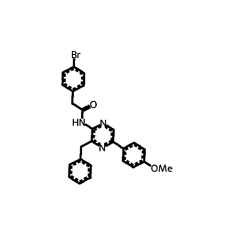 COc1ccc(-c2cnc(NC(=O)Cc3ccc(Br)cc3)c(Cc3ccccc3)n2)cc1